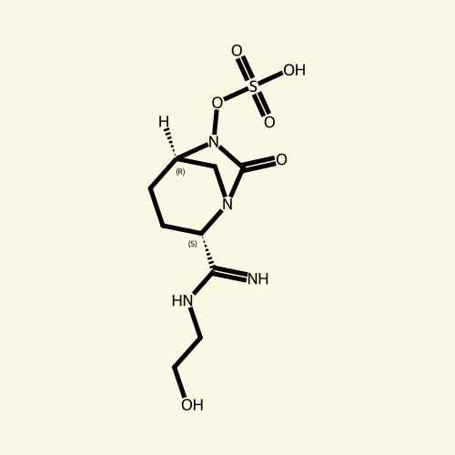 N=C(NCCO)[C@@H]1CC[C@@H]2CN1C(=O)N2OS(=O)(=O)O